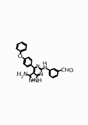 Nc1n[nH]c2nc(Nc3cccc(C=O)c3)nc(-c3ccc(Oc4ccccc4)cc3)c12